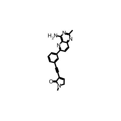 Cc1nc(N)c2nc(-c3cccc(C#CC4=CCN(C)C4=O)c3)ccc2n1